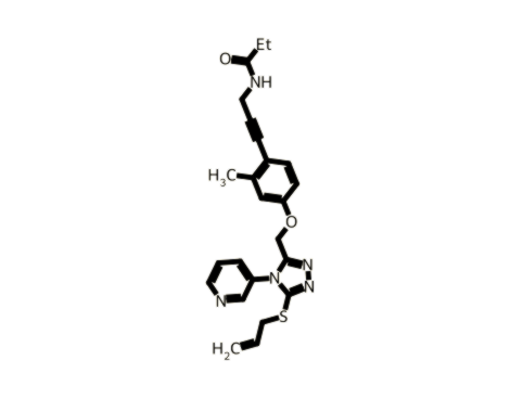 C=CCSc1nnc(COc2ccc(C#CCNC(=O)CC)c(C)c2)n1-c1cccnc1